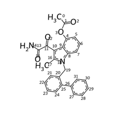 CC(=O)Oc1cccc2c1c(C(=O)C(N)=O)c(C)n2Cc1ccccc1-c1ccccc1